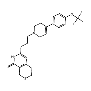 O=c1[nH]c(CCCN2CC=C(c3ccc(OC(F)(F)F)cc3)CC2)nc2c1CSCC2